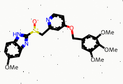 COc1ccc2[nH]c([S+]([O-])Cc3cc(OCc4cc(OC)c(OC)c(OC)c4)ccn3)nc2c1